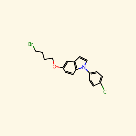 Clc1ccc(-n2ccc3cc(OCCCCBr)ccc32)cc1